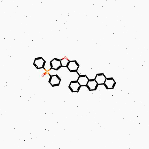 O=P(c1ccccc1)(c1ccccc1)c1ccc2oc3ccc(-c4cc5c(ccc6c7ccccc7ccc65)c5ccccc45)cc3c2c1